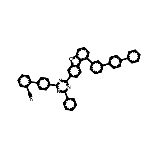 N#Cc1ccccc1-c1ccc(-c2nc(-c3ccccc3)nc(-c3ccc4c(c3)oc3cccc(-c5cccc(-c6ccc(-c7ccccc7)cc6)c5)c34)n2)cc1